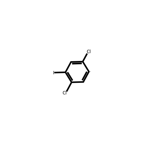 Clc1[c]cc(Cl)c(I)c1